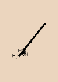 CCCCCCCCCCCCCCCCCCCCCCCCCCCCCCCC(=O)NC(CCCCN)C(=O)O